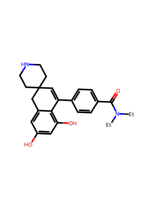 CCN(CC)C(=O)c1ccc(C2=CC3(CCNCC3)Cc3cc(O)cc(O)c32)cc1